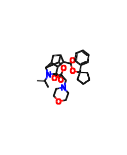 CC(C)N1C(=O)C2C3CC(C(OC(=O)CN4CCOCC4)C31)C2C(=O)OC1(c2ccccc2)CCCC1